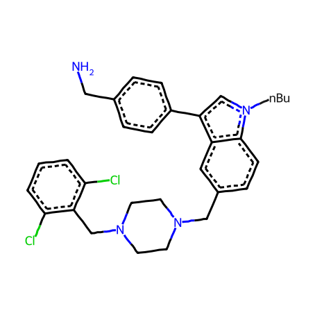 CCCCn1cc(-c2ccc(CN)cc2)c2cc(CN3CCN(Cc4c(Cl)cccc4Cl)CC3)ccc21